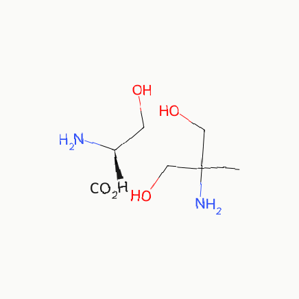 CC(N)(CO)CO.N[C@@H](CO)C(=O)O